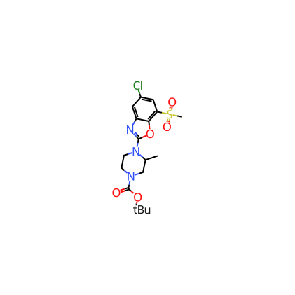 CC1CN(C(=O)OC(C)(C)C)CCN1c1nc2cc(Cl)cc(S(C)(=O)=O)c2o1